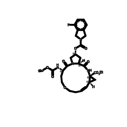 CCOC(=O)[C@@]12C[C@H]1C=CCCOCC[C@H](NC(=O)OC(C)(C)C)C(=O)N1C[C@H](OC(=O)N3Cc4cccc(F)c4C3)C[C@H]1C(=O)N2